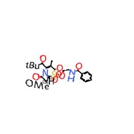 CO[C@H]1C(=O)N2C(C(=O)C(C)(C)C)=C(C)C(OC(=O)CNC(=O)c3ccccc3)S(=O)(=O)[C@H]12